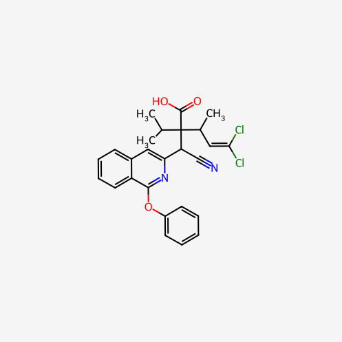 CC(C)C(C(=O)O)(C(C)C=C(Cl)Cl)C(C#N)c1cc2ccccc2c(Oc2ccccc2)n1